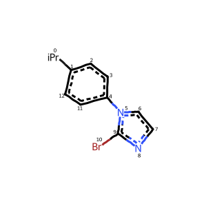 CC(C)c1ccc(-n2ccnc2Br)cc1